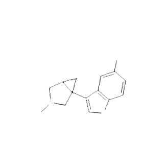 CN1CC2CC2(c2csc3ccc(Cl)cc23)C1